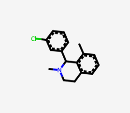 Cc1cccc2c1C(c1cccc(Cl)c1)N(C)CC2